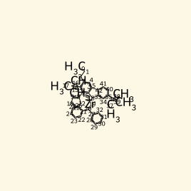 CCCc1cc2c(c(C3=CC=CC3)c1C(C)(C)C)[CH]([Zr]=[C](c1ccccc1)c1ccccc1)c1cc(C(C)(C)C)ccc1-2